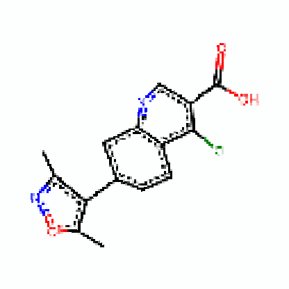 Cc1noc(C)c1-c1ccc2c(Cl)c(C(=O)O)cnc2c1